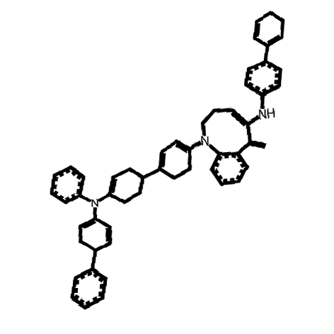 C=C1/C(Nc2ccc(C3=CCCC=C3)cc2)=C\CCN(C2=CC=C(C3CC=C(N(C4=CCC(c5ccccc5)C=C4)c4ccccc4)CC3)CC2)c2ccccc21